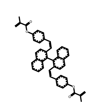 C=C(C)C(=O)Oc1ccc(/C=C\c2ccc3ccccc3c2-c2c(/C=C\c3ccc(OC(=O)C(=C)C)cc3)ccc3ccccc23)cc1